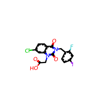 O=C(O)Cn1c(=O)n(Cc2ccc(I)cc2F)c(=O)c2ccc(Cl)cc21